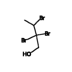 CC(Br)C(Br)(Br)CO